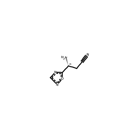 N#CC[C@@H](N)c1ncno1